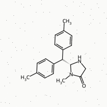 Cc1ccc(C(c2ccc(C)cc2)[C@@H]2NCC(=O)N2C)cc1